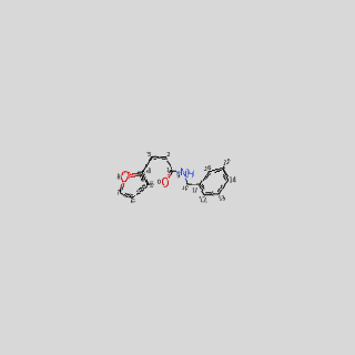 O=C(/C=C\c1ccco1)NCc1ccccc1